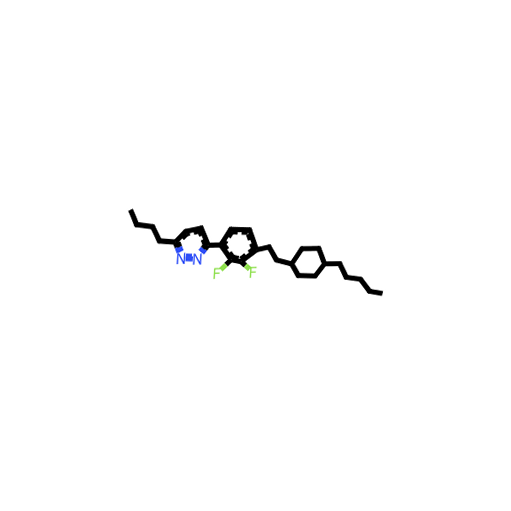 CCCCCC1CCC(CCc2ccc(-c3ccc(CCCC)nn3)c(F)c2F)CC1